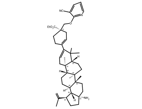 C=C(C)[C@@H]1CC[C@]2(N)CC[C@]3(C)[C@H](CC[C@@H]4[C@@]5(C)CC=C(C6=CC[C@@](COc7ncccc7C#N)(C(=O)OCC)CC6)C(C)(C)[C@@H]5CC[C@]43C)[C@@H]12